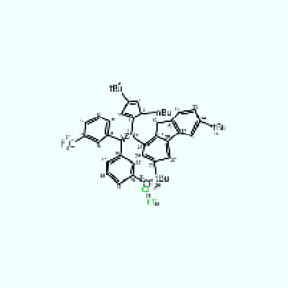 CCCCC1C=C(C(C)(C)C)C=[C]1[Zr+2](=[C](c1cccc(C(F)(F)F)c1)c1cccc(C(F)(F)F)c1)[c]1cc(C(C)(C)C)cc2c1Cc1ccc(C(C)(C)C)cc1-2.[Cl-].[Cl-]